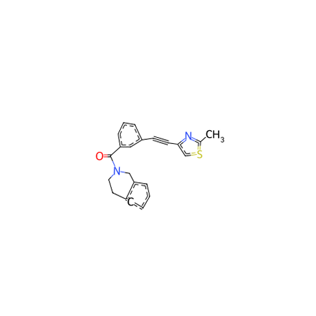 Cc1nc(C#Cc2cccc(C(=O)N3CCc4ccccc4C3)c2)cs1